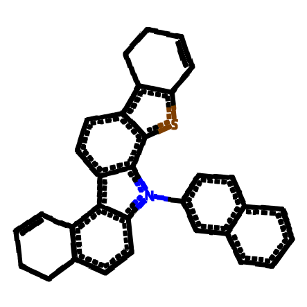 C1=Cc2c(ccc3c2c2ccc4c5c(sc4c2n3-c2ccc3ccccc3c2)C=CCC5)CC1